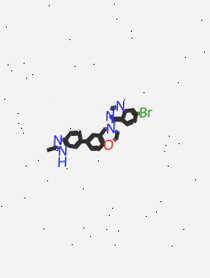 Cc1nc2ccc(-c3ccc4c(c3)CN(c3ncnc5cc(Br)ccc35)CCO4)cc2[nH]1